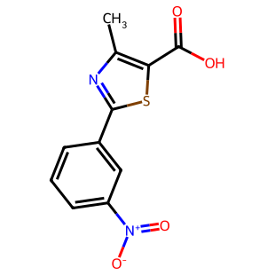 Cc1nc(-c2cccc([N+](=O)[O-])c2)sc1C(=O)O